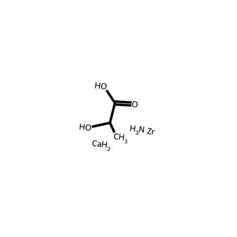 CC(O)C(=O)O.N.[CaH2].[Zr]